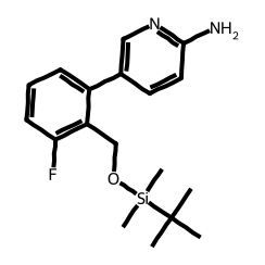 CC(C)(C)[Si](C)(C)OCc1c(F)cccc1-c1ccc(N)nc1